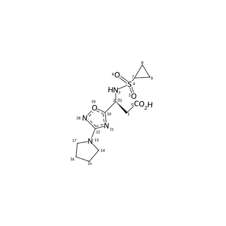 O=C(O)C[C@H](NS(=O)(=O)C1CC1)c1nc(N2CCCC2)no1